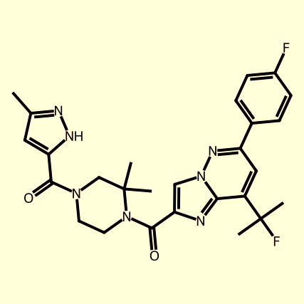 Cc1cc(C(=O)N2CCN(C(=O)c3cn4nc(-c5ccc(F)cc5)cc(C(C)(C)F)c4n3)C(C)(C)C2)[nH]n1